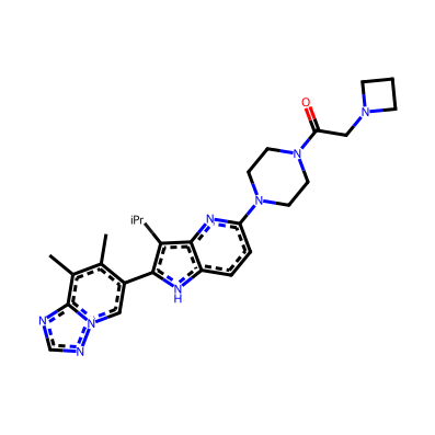 Cc1c(-c2[nH]c3ccc(N4CCN(C(=O)CN5CCC5)CC4)nc3c2C(C)C)cn2ncnc2c1C